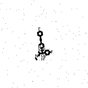 C/C=N\C=C(/C)C(O)(c1ccc(F)cc1F)C(F)(F)c1ccc(C#Cc2ccc(F)cc2)cn1